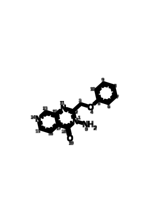 Nn1c(COc2ccccc2)nc2cnccc2c1=O